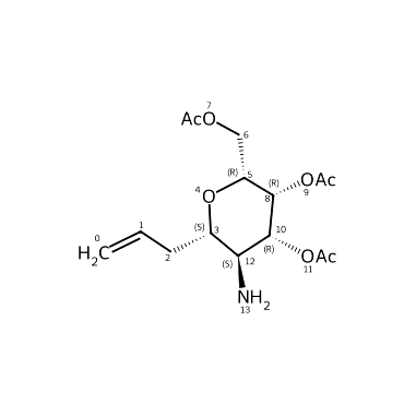 C=CC[C@@H]1O[C@H](COC(C)=O)[C@H](OC(C)=O)[C@H](OC(C)=O)[C@H]1N